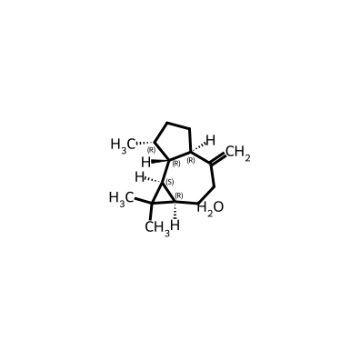 C=C1CC[C@@H]2[C@H]([C@@H]3[C@H](C)CC[C@@H]13)C2(C)C.O